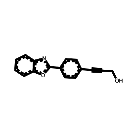 OCC#Cc1ccc(-c2nc3ccccc3o2)cc1